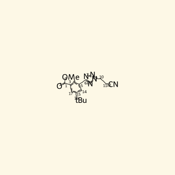 COC(=O)c1cc(-c2nnn(CCC#N)n2)cc(C(C)(C)C)c1